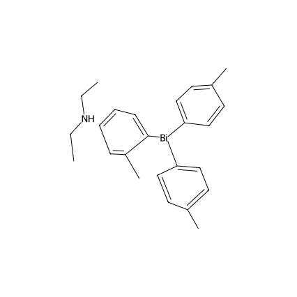 CCNCC.Cc1cc[c]([Bi]([c]2ccc(C)cc2)[c]2ccccc2C)cc1